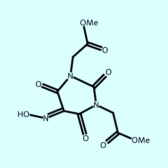 COC(=O)CN1C(=O)C(=NO)C(=O)N(CC(=O)OC)C1=O